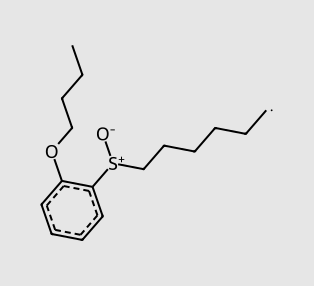 [CH2]CCCCC[S+]([O-])c1ccccc1OCCCC